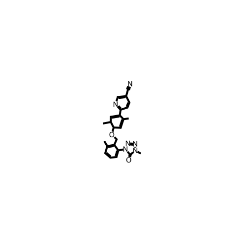 CC1=CC(OCc2c(C)cccc2-n2nnn(C)c2=O)C(C)C=C1c1ccc(C#N)cn1